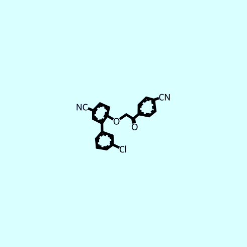 N#Cc1ccc(C(=O)COc2ccc(C#N)cc2-c2cccc(Cl)c2)cc1